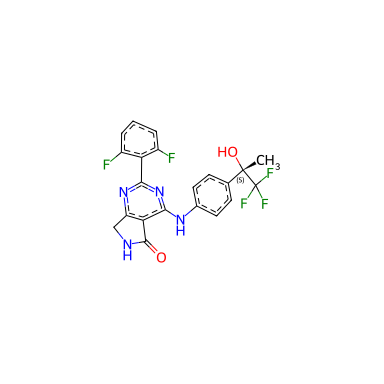 C[C@](O)(c1ccc(Nc2nc(-c3c(F)cccc3F)nc3c2C(=O)NC3)cc1)C(F)(F)F